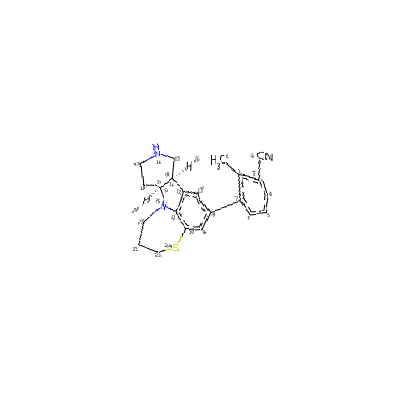 Cc1c(C#N)cccc1-c1cc2c3c(c1)[C@@H]1CNCC[C@@H]1N3CCCS2